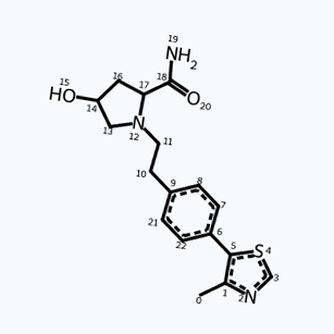 Cc1ncsc1-c1ccc(CCN2CC(O)CC2C(N)=O)cc1